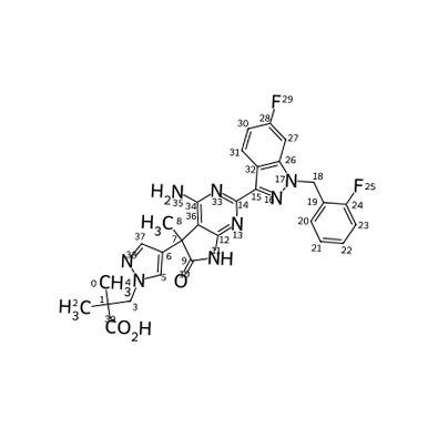 CC(C)(Cn1cc(C2(C)C(=O)Nc3nc(-c4nn(Cc5ccccc5F)c5cc(F)ccc45)nc(N)c32)cn1)C(=O)O